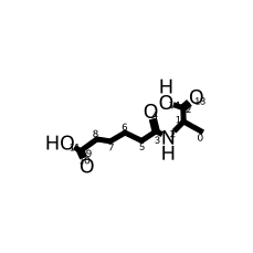 CC(NC(=O)CCCCC(=O)O)C(=O)O